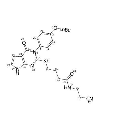 CCCCOc1ccc(-n2c(SCCCC(=O)NCCC#N)nc3[nH]ccc3c2=O)cc1